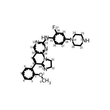 COc1ccccc1C1=Cc2cnc(Nc3ccc(N4CCNCC4)cc3F)nc2N2CCN=C12